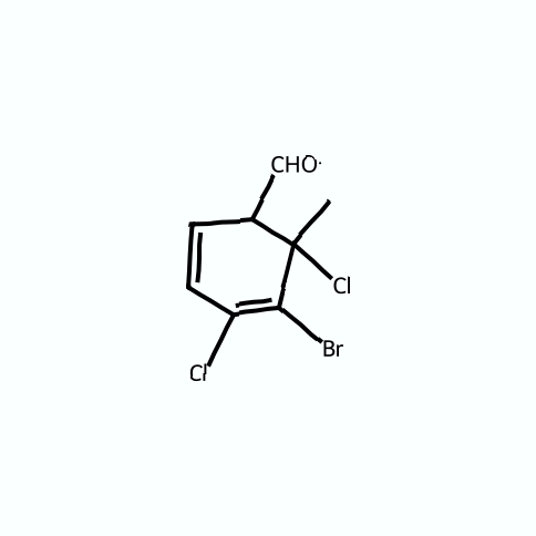 CC1(Cl)C(Br)=C(Cl)C=CC1[C]=O